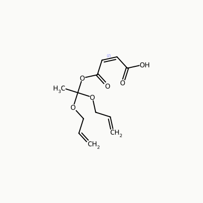 C=CCOC(C)(OCC=C)OC(=O)/C=C\C(=O)O